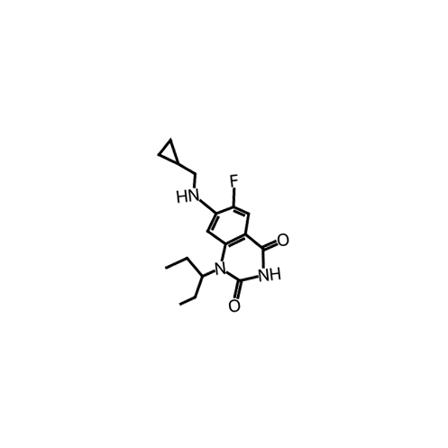 CCC(CC)n1c(=O)[nH]c(=O)c2cc(F)c(NCC3CC3)cc21